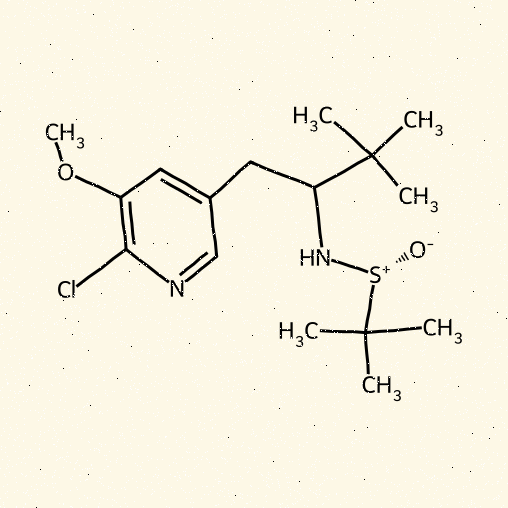 COc1cc(CC(N[S@+]([O-])C(C)(C)C)C(C)(C)C)cnc1Cl